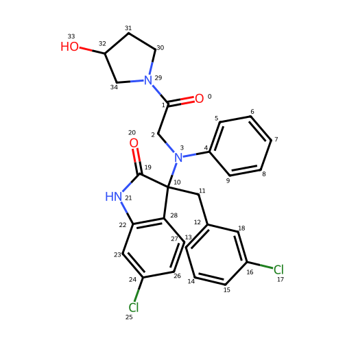 O=C(CN(c1ccccc1)C1(Cc2cccc(Cl)c2)C(=O)Nc2cc(Cl)ccc21)N1CCC(O)C1